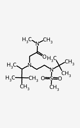 CC(N(CCN(C(C)(C)C)S(C)(=O)=O)CC(=O)N(C)C)C(C)(C)C